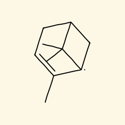 CC1=CCC2C[C]1C2(C)C